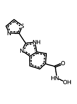 O=C(NO)c1ccc2nc(-c3nccs3)[nH]c2c1